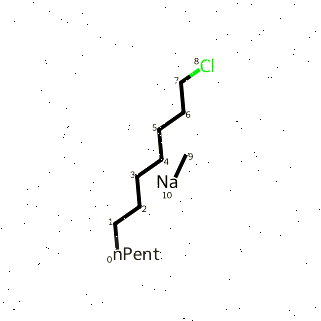 CCCCCCCCCCCCCl.[CH3][Na]